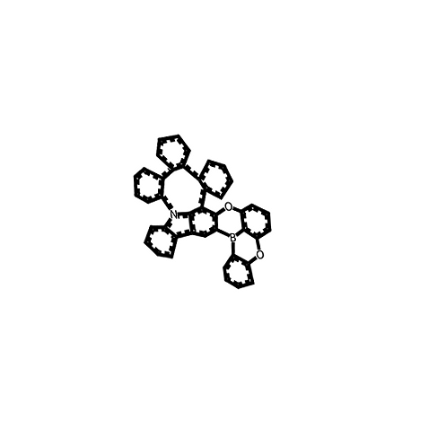 c1ccc2c(c1)Oc1cccc3c1B2c1cc2c4ccccc4n4c5ccccc5c5ccccc5c5ccccc5c(c1O3)c24